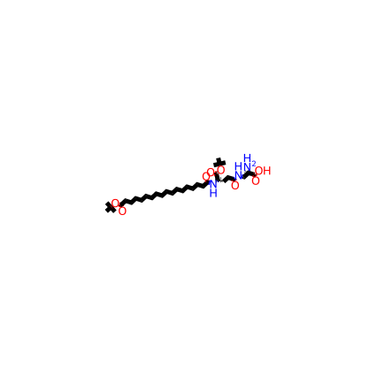 CC(C)(C)OC(=O)CCCCCCCCCCCCCCCCC(=O)N[C@@H](CCC(=O)NC[C@H](N)C(=O)O)C(=O)OC(C)(C)C